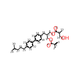 C=C(C)C(=O)OCC(COC(=O)C(C)CO)Cc1ccc(-c2ccc(CCCC(C)C)cc2)cc1